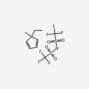 CC[N+]1(C)C=CC=C1.O=S(=O)([N-]S(=O)(=O)C(F)(F)F)C(F)(F)F